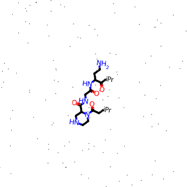 CC(C)CC(=O)N1CCNCC1C(=O)NCC(=O)NC(CCN)C(=O)C(C)C